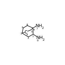 NC1CC2CCC1(N)CC2